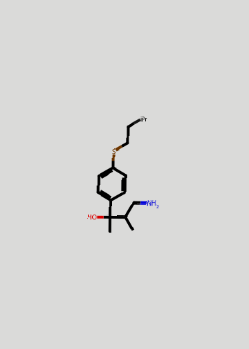 CC(C)CCSc1ccc(C(C)(O)C(C)CN)cc1